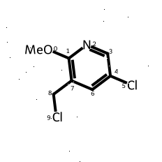 COc1ncc(Cl)cc1CCl